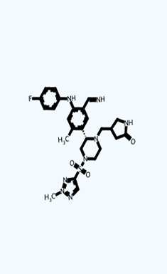 Cc1cc(Nc2ccc(F)cc2)c(C=N)cc1[C@H]1CN(S(=O)(=O)c2cnn(C)n2)CCN1CC1CNC(=O)C1